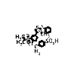 CN(C)S(=O)(=O)c1cc(-c2cs/c(=N/c3ccccc3)n2C)ccc1Cl.Cc1ccc(S(=O)(=O)O)cc1